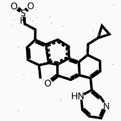 CC1C=CC(CC[SH](=O)=O)=c2ccc3c(c21)C(=O)C=C1C(C2=CN=CC=CN2)=CCC(CC2CC2)C=31